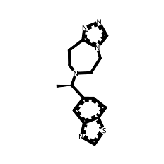 C[C@H](c1ccc2scnc2c1)N1CCc2nncn2CC1